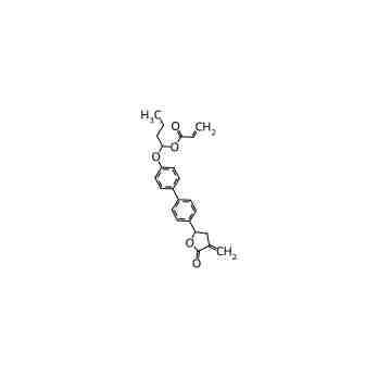 C=CC(=O)OC(CCC)Oc1ccc(-c2ccc(C3CC(=C)C(=O)O3)cc2)cc1